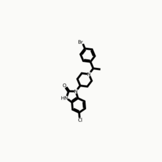 CC(c1ccc(Br)cc1)N1CCC(n2c(=O)[nH]c3cc(Cl)ccc32)CC1